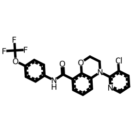 O=C(Nc1ccc(OC(F)(F)F)cc1)c1cccc2c1OCCN2c1ncccc1Cl